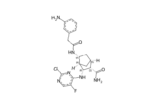 NC(=O)[C@H]1[C@H]2C[C@@H]([C@H]1Nc1nc(Cl)ncc1F)[C@H](NC(=O)Cc1cccc(N)c1)C2